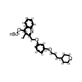 CCCCOc1c(C)c(COc2cccc(OCCCC3CCOCC3)c2)nc2ccccc12